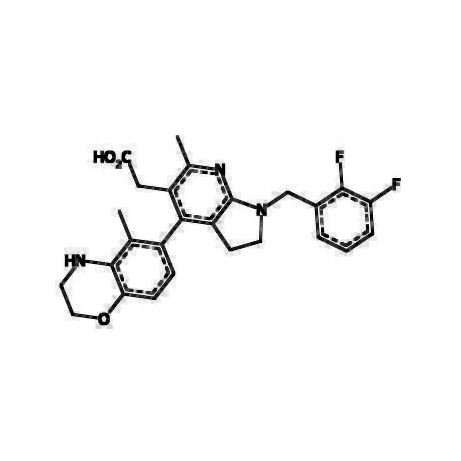 Cc1nc2c(c(-c3ccc4c(c3C)NCCO4)c1CC(=O)O)CCN2Cc1cccc(F)c1F